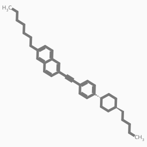 CCCCCCCc1ccc2cc(C#Cc3ccc([C@H]4CC[C@H](CCCCC)CC4)cc3)ccc2c1